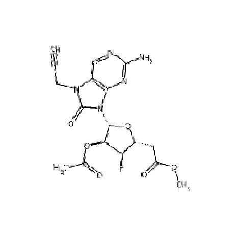 C#CCn1c(=O)n([C@@H]2O[C@H](CC(=O)OC)[C@@H](F)[C@H]2OC(C)=O)c2nc(N)ncc21